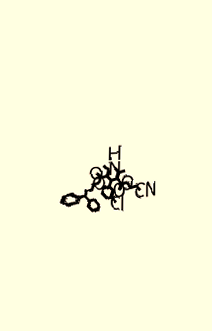 CC1=C(C(=O)OCCC#N)C(c2cccc(Cl)c2)C(C(=O)OCCCC(c2ccccc2)c2ccccc2)=C(C)N1